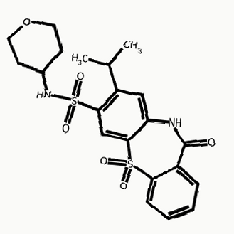 CC(C)c1cc2c(cc1S(=O)(=O)NC1CCOCC1)S(=O)(=O)c1ccccc1C(=O)N2